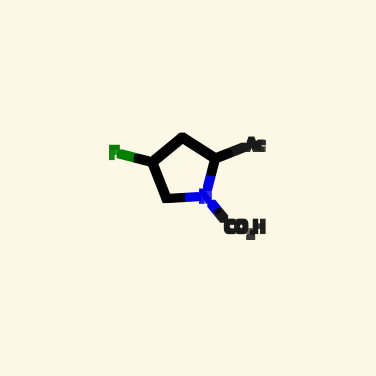 CC(=O)C1CC(F)CN1C(=O)O